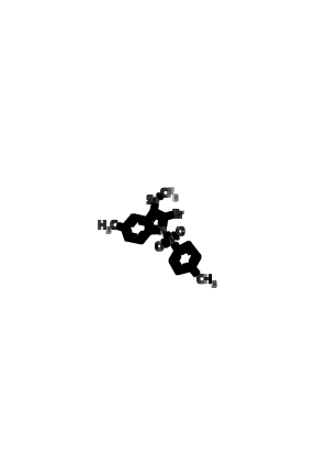 Cc1ccc(S(=O)(=O)n2c(Br)c([Se]C(F)(F)F)c3cc(C)ccc32)cc1